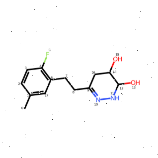 Cc1ccc(F)c(CCC2=NNC(O)C(O)C2)c1